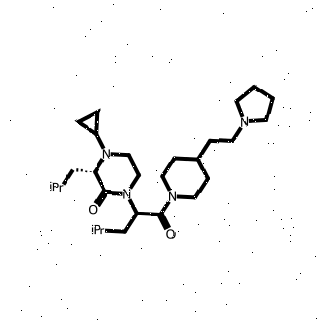 CC(C)CC(C(=O)N1CCC(CCN2CCCC2)CC1)N1CCN(C2CC2)[C@@H](CC(C)C)C1=O